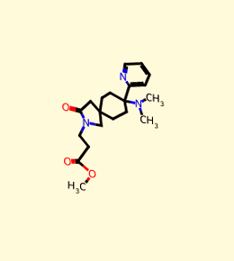 COC(=O)CCN1CC2(CCC(c3ccccn3)(N(C)C)CC2)CC1=O